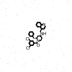 O=C(c1cc(Cl)cc(Cl)c1)N1CC[C@H](NCc2ccnc3ccccc23)C[C@H]1Cc1ccccc1